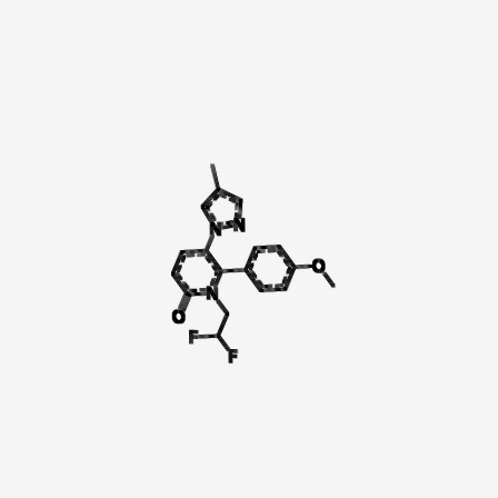 COc1ccc(-c2c(-n3cc(C)cn3)ccc(=O)n2CC(F)F)cc1